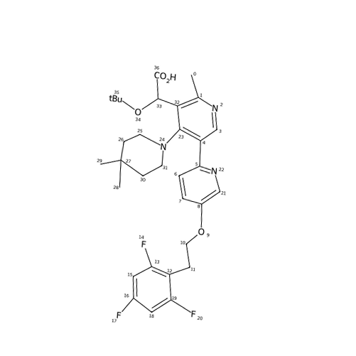 Cc1ncc(-c2ccc(OCCc3c(F)cc(F)cc3F)cn2)c(N2CCC(C)(C)CC2)c1C(OC(C)(C)C)C(=O)O